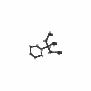 CC(C)(C)O[Si](OC(C)(C)C)(C1CCCCC1)C(C)(C)C